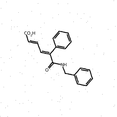 O=C(O)C=CC=C(C(=O)NCc1ccccc1)c1ccccc1